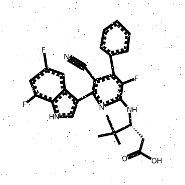 CC(C)(C)[C@@H](CC(=O)O)Nc1nc(-c2c[nH]c3c(F)cc(F)cc23)c(C#N)c(-c2ccccc2)c1F